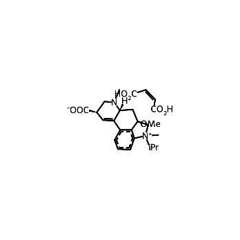 COC12C[C@@H]3C(=C[C@@H](C(=O)[O-])CN3C)c3cccc(c31)[N+](C)(C(C)C)C2.O=C(O)/C=C\C(=O)O